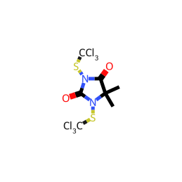 CC1(C)C(=O)N(SC(Cl)(Cl)Cl)C(=O)N1SC(Cl)(Cl)Cl